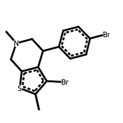 Cc1sc2c(c1Br)C(c1ccc(Br)cc1)CN(C)C2